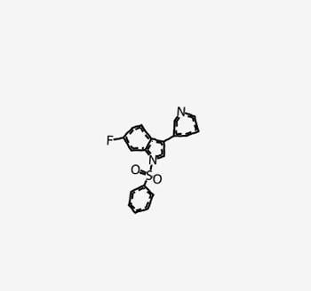 O=S(=O)(c1ccccc1)n1cc(-c2cccnc2)c2ccc(F)cc21